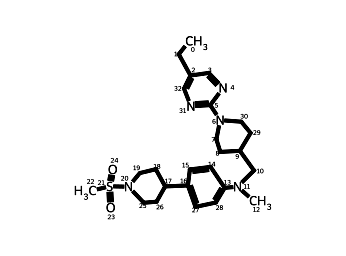 CCc1cnc(N2CCC(CN(C)c3ccc(C4CCN(S(C)(=O)=O)CC4)cc3)CC2)nc1